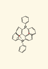 CC1(C)CC=CC(P(c2ccccc2)c2ccccc2)=C1c1ccccc1P(c1ccccc1)c1ccccc1